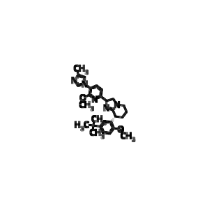 COc1ccc(C(C)(C)C)cc1[C@H]1CCCN2CC(c3ccc(-n4cnc(C)c4)c(OC)n3)N=C12